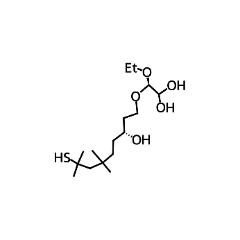 CCO[C@H](OCC[C@H](O)CCC(C)(C)CC(C)(C)S)C(O)O